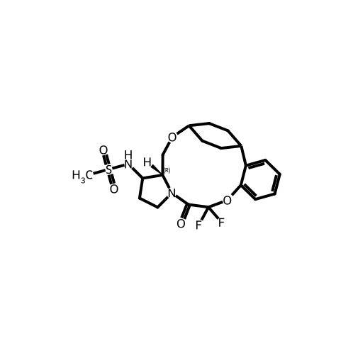 CS(=O)(=O)NC1CCN2C(=O)C(F)(F)Oc3ccccc3C3CCC(CC3)OC[C@@H]12